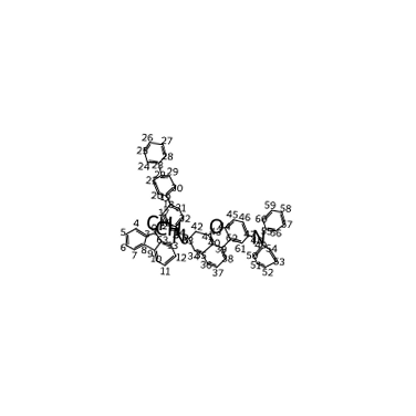 CC1(C)c2ccccc2-c2cccc(N(c3ccc(-c4ccc(-c5ccccc5)cc4)cc3)C3C=c4cccc5c4=C(C3)Oc3ccc(N(c4ccccc4)c4ccccc4)cc3-5)c21